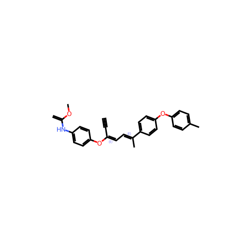 C#C/C(=C\C=C(/C)c1ccc(Oc2ccc(C)cc2)cc1)Oc1ccc(NC(=C)OC)cc1